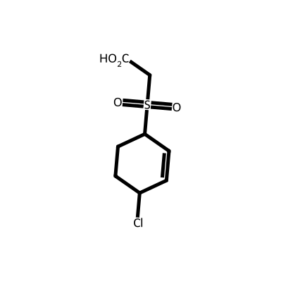 O=C(O)CS(=O)(=O)C1C=CC(Cl)CC1